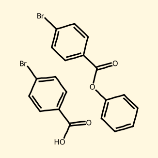 O=C(O)c1ccc(Br)cc1.O=C(Oc1ccccc1)c1ccc(Br)cc1